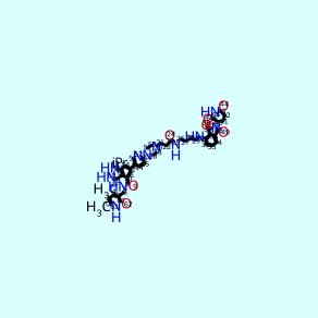 Cc1cc(C)c(CNC(=O)c2cc(-c3ccc(N4CCN(CCC(=O)NCCCCNc5cccc6c5C(=O)N(C5CCC(=O)NC5=O)C6=O)CC4)nc3)cc(NC(C)C)c2C=N)c(=O)[nH]1